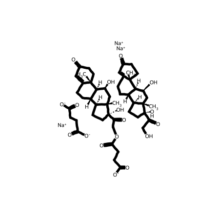 C[C@]12CCC(=O)C=C1CC[C@@H]1[C@@H]2[C@@H](O)C[C@@]2(C)[C@H]1CC[C@]2(O)C(=O)CO.C[C@]12CCC(=O)C=C1CC[C@@H]1[C@@H]2[C@@H](O)C[C@@]2(C)[C@H]1CC[C@]2(O)C(=O)COC(=O)CCC(=O)[O-].O=C([O-])CCC(=O)[O-].[Na+].[Na+].[Na+]